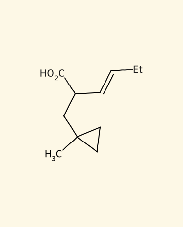 CCC=CC(CC1(C)CC1)C(=O)O